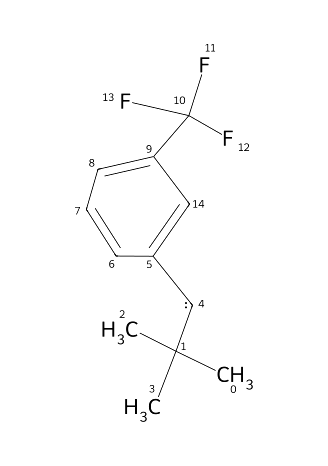 CC(C)(C)[C]c1cccc(C(F)(F)F)c1